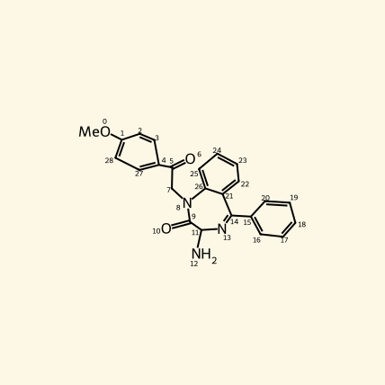 COc1ccc(C(=O)CN2C(=O)C(N)N=C(c3ccccc3)c3ccccc32)cc1